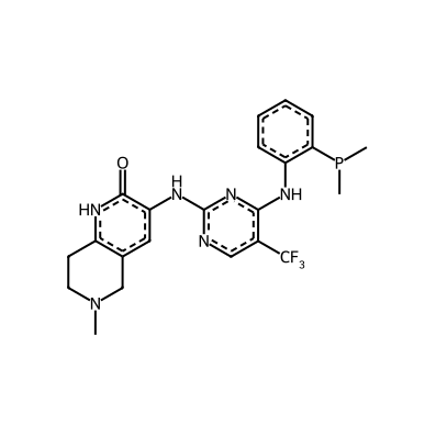 CN1CCc2[nH]c(=O)c(Nc3ncc(C(F)(F)F)c(Nc4ccccc4P(C)C)n3)cc2C1